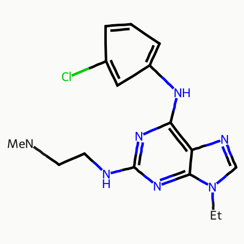 CCn1cnc2c(Nc3cccc(Cl)c3)nc(NCCNC)nc21